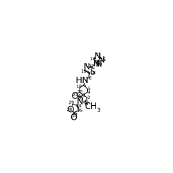 C[C@H]1CC2(CCC(NCc3cnc(-n4cnnn4)s3)CC2)C(=O)N1C1=CC(=O)OC1